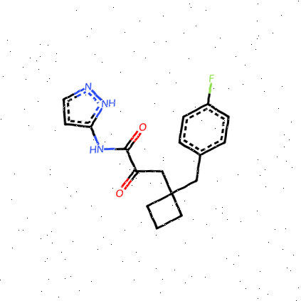 O=C(CC1(Cc2ccc(F)cc2)CCC1)C(=O)Nc1ccn[nH]1